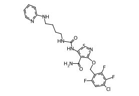 NC(=O)c1c(OCc2c(F)cc(Cl)c(F)c2F)nsc1NC(=O)NCCCCNc1ccccn1